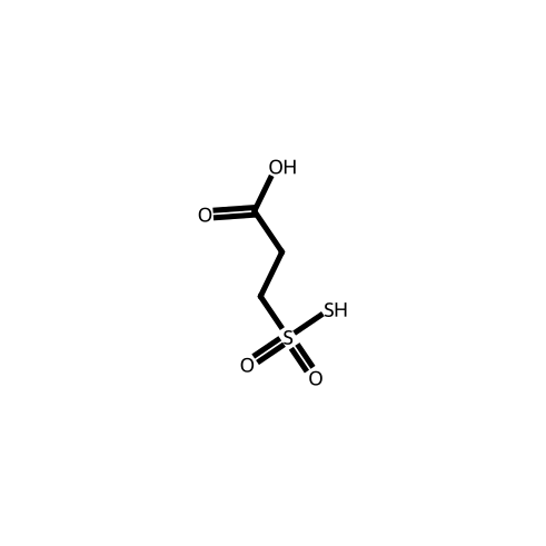 O=C(O)CCS(=O)(=O)S